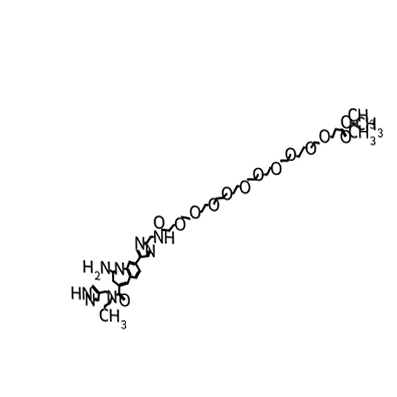 CCCN(Cc1cn[nH]c1)C(=O)C1=Cc2ccc(-c3cnc(CNC(=O)CCOCCOCCOCCOCCOCCOCCOCCOCCOCCOCCC(=O)OC(C)(C)C)nc3)cc2N=C(N)C1